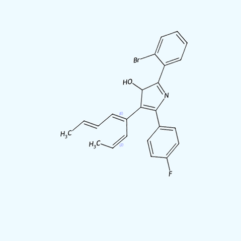 CC=C/C=C(\C=C/C)C1=C(c2ccc(F)cc2)N=C(c2ccccc2Br)C1O